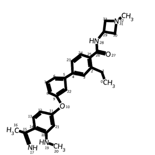 CCc1cc(-c2cccc(Oc3ccc(C(C)=N)c(NC)c3)c2)ccc1C(=O)NC1CN(C)C1